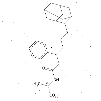 C[C@H](NC(=O)CC(CCSC1C2CC3CC(C2)CC1C3)c1ccccc1)C(=O)O